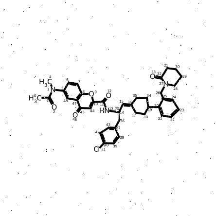 CC(=O)N(C)c1ccc2oc(C(=O)N[C@@H](C=C3CCC(c4ccccc4CN4CCCCC4=O)CC3)Cc3ccc(Cl)cc3)cc(=O)c2c1